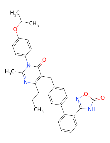 CCCc1nc(C)n(-c2ccc(OC(C)C)cc2)c(=O)c1Cc1ccc(-c2ccccc2-c2noc(=O)[nH]2)cc1